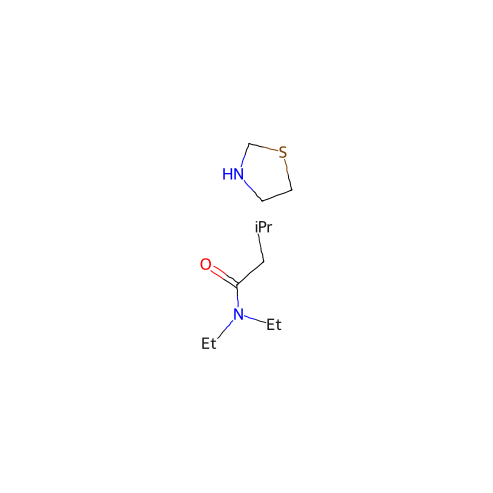 C1CSCN1.CCN(CC)C(=O)CC(C)C